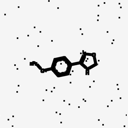 CCCOc1ccc(C2=NO[CH]N2)cc1